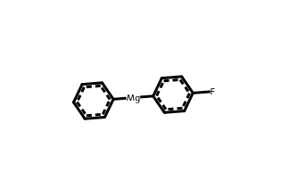 Fc1cc[c]([Mg][c]2ccccc2)cc1